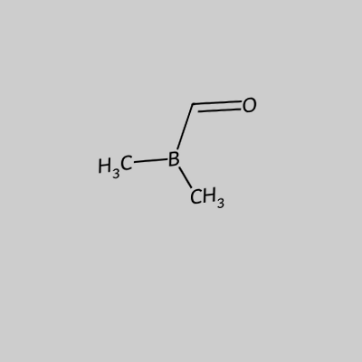 CB(C)C=O